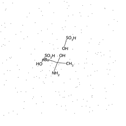 CCCCC(C)(N)O.O=S(=O)(O)O.O=S(=O)(O)O